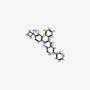 NC1(c2ccc(-c3nc4cnc(-c5cccnc5)cc4cc3-c3ccccc3)cc2)CCC1